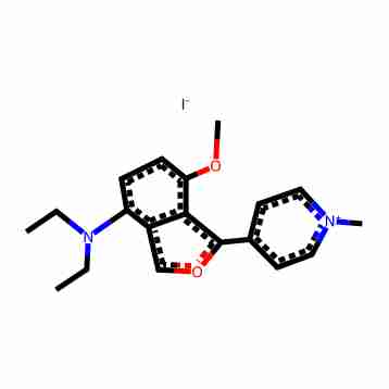 CCN(CC)c1ccc(OC)c2c(-c3cc[n+](C)cc3)occ12.[I-]